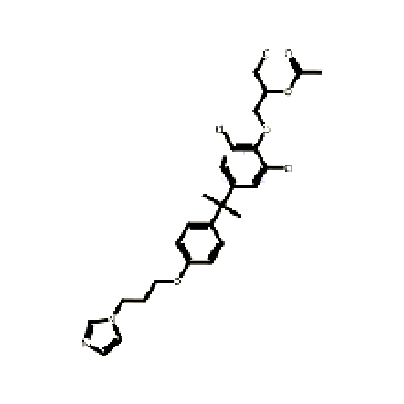 C\C=C(/C=C(Cl)\C(=C\Cl)OCC(CCl)OC(C)=O)C(C)(C)c1ccc(OCCCn2ccnc2)cc1